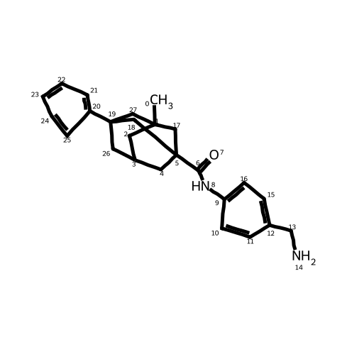 CC12CC3CC(C(=O)Nc4ccc(CN)cc4)(C1)CC(c1ccccc1)(C3)C2